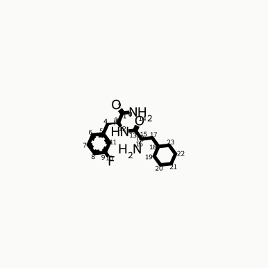 NC(=O)[C@H](Cc1cccc(F)c1)NC(=O)[C@@H](N)CC1CCCCC1